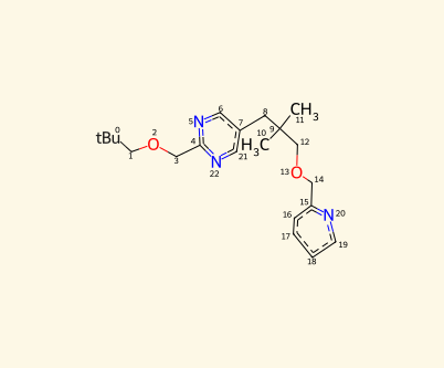 CC(C)(C)COCc1ncc(CC(C)(C)COCc2ccccn2)cn1